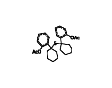 CC(=O)Oc1ccccc1C1(SC2(c3ccccc3OC(C)=O)CCCCC2)CCCCC1